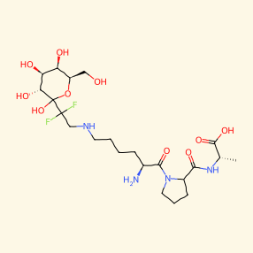 C[C@H](NC(=O)C1CCCN1C(=O)[C@@H](N)CCCCNCC(F)(F)C1(O)O[C@H](CO)[C@H](O)[C@H](O)[C@H]1O)C(=O)O